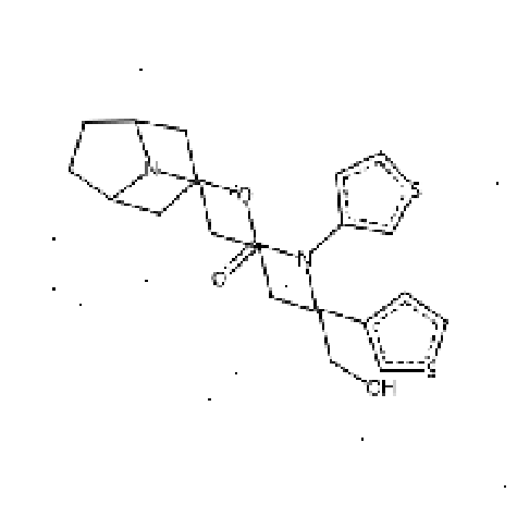 O=C(OC1CC2CCC(C1)N2CCCCCCO)N(Cc1ccsc1)c1ccsc1